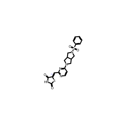 O=C1NC(=O)/C(=C/c2nccc(N3CC4CN(S(=O)(=O)c5ccccc5)CC4C3)n2)S1